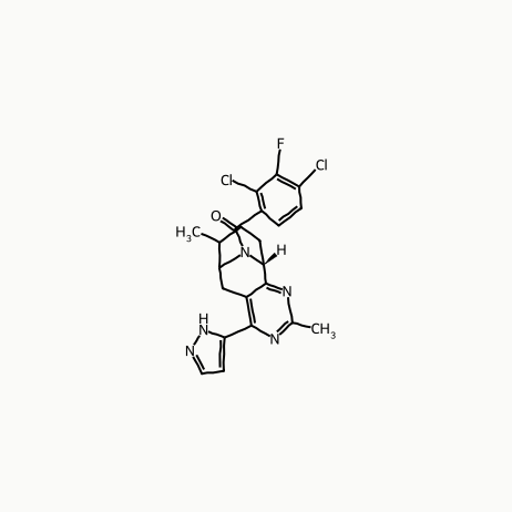 Cc1nc(-c2ccn[nH]2)c2c(n1)[C@H]1CCC(C)C(C2)N1C(=O)c1ccc(Cl)c(F)c1Cl